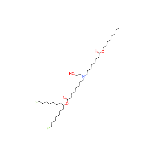 CCCCCCCCCOC(=O)CCCCCCCN(CCO)CCCCCCCC(=O)OC(CCCCCCCF)CCCCCCCF